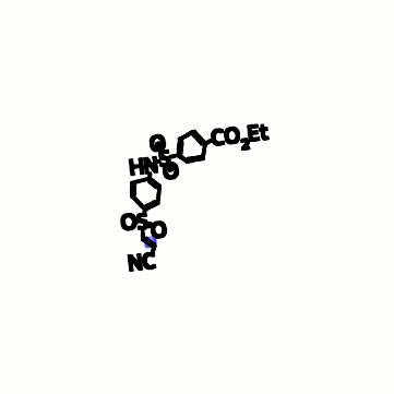 CCOC(=O)c1ccc(S(=O)(=O)Nc2ccc(S(=O)(=O)/C=C/C#N)cc2)cc1